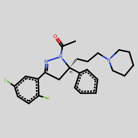 CC(=O)N1N=C(c2cc(F)ccc2F)C[C@]1(CCCN1CCCCC1)c1ccccc1